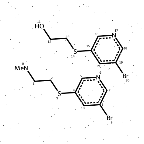 CNCCSc1cncc(Br)c1.OCCSc1cncc(Br)c1